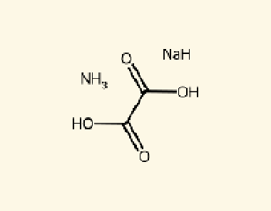 N.O=C(O)C(=O)O.[NaH]